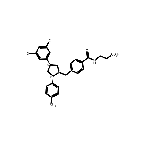 Cc1ccc([C@H]2C[C@@H](c3cc(Cl)cc(Cl)c3)CN2Cc2ccc(C(=O)NCCC(=O)O)cc2)cc1